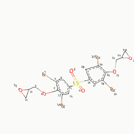 O=S(=O)(c1cc(Br)c(OCC2CO2)c(Br)c1)c1cc(Br)c(OCC2CO2)c(Br)c1